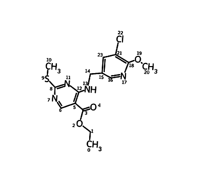 CCOC(=O)c1cnc(SC)nc1NCc1cnc(OC)c(Cl)c1